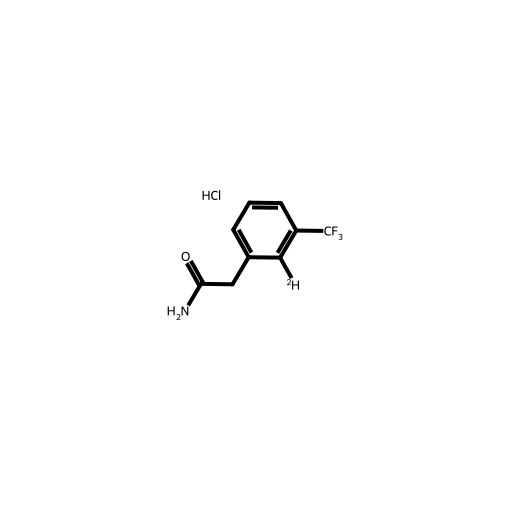 Cl.[2H]c1c(CC(N)=O)cccc1C(F)(F)F